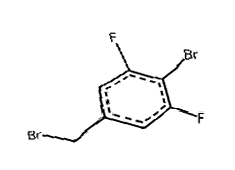 Fc1cc(CBr)cc(F)c1Br